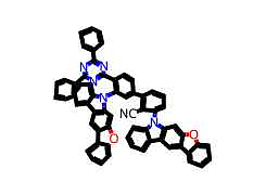 N#Cc1c(-c2ccc(-c3nc(-c4ccccc4)nc(-c4ccccc4)n3)c(-n3c4ccccc4c4cc5c(cc43)oc3ccccc35)c2)cccc1-n1c2ccccc2c2cc3c(cc21)oc1ccccc13